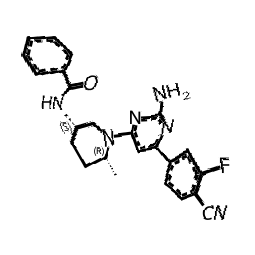 C[C@@H]1CC[C@H](NC(=O)c2ccccc2)CN1c1cc(-c2ccc(C#N)c(F)c2)nc(N)n1